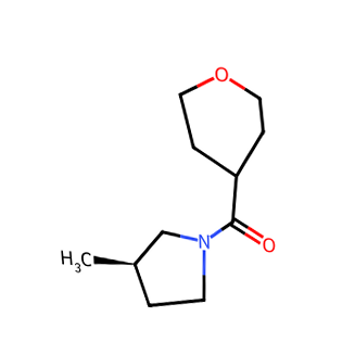 C[C@@H]1CCN(C(=O)C2CCOCC2)C1